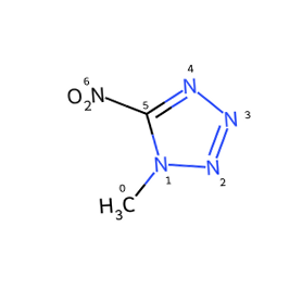 Cn1nnnc1[N+](=O)[O-]